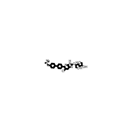 C[SH](=O)=Nc1ccc(-c2ccc(-c3nc4[nH]c(O[C@@H]5CO[C@H]6[C@@H]5OC[C@H]6O)nc4cc3Cl)cc2)cc1